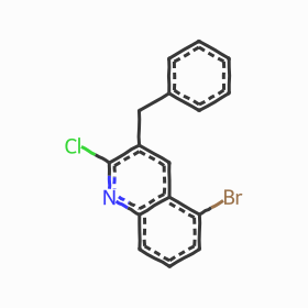 Clc1nc2cccc(Br)c2cc1Cc1ccccc1